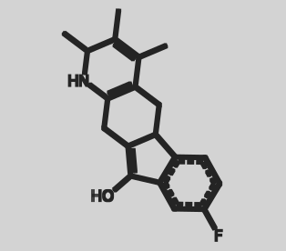 CC1=C(C)C(C)NC2=C1CC1C(=C(O)c3cc(F)ccc31)C2